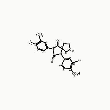 Cc1cc(N2C(=O)C3(CCOC3)N(c3ccc(C(=O)O)c(F)c3)C2=S)ccc1C#N